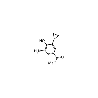 COC(=O)c1cc(N)c(O)c(C2CC2)c1